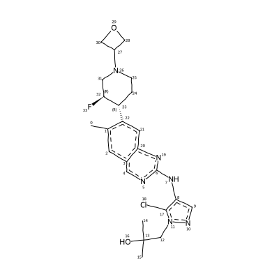 Cc1cc2cnc(Nc3cnn(CC(C)(C)O)c3Cl)nc2cc1[C@H]1CCN(C2COC2)C[C@@H]1F